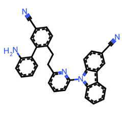 N#Cc1ccc(CCc2cccc(-n3c4ccccc4c4cc(C#N)ccc43)n2)c(-c2ccccc2N)c1